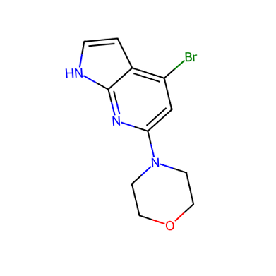 Brc1cc(N2CCOCC2)nc2[nH]ccc12